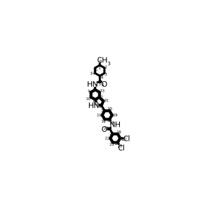 CC1CCC(C(=O)Nc2ccc3[nH]c(-c4ccc(NC(=O)c5ccc(Cl)c(Cl)c5)cc4)cc3c2)CC1